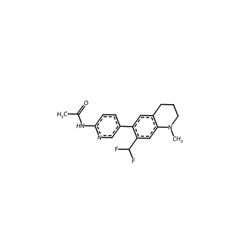 CC(=O)Nc1ccc(-c2cc3c(cc2C(F)F)N(C)CCC3)cn1